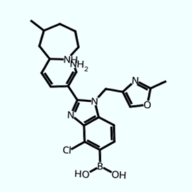 Cc1nc(Cn2c(C(/C=C\C3CC(C)CCCN3)=C/N)nc3c(Cl)c(B(O)O)ccc32)co1